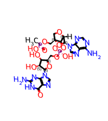 CP(=O)(O)OC[C@@]12CO[C@@H](C1OP(=O)(O)OC[C@H]1O[C@@H](n3cnc4c(=O)[nH]c(N)nc43)[C@@H](O)C1O)[C@H](n1cnc3c(N)ncnc31)O2